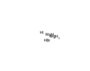 Br.I.[MgH2].[MgH2]